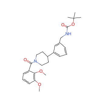 COc1cccc(C(=O)N2CCC(c3cccc(CNC(=O)OC(C)(C)C)c3)CC2)c1OC